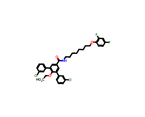 O=C(O)COc1c(-c2cccc(Cl)c2)cc(C(=O)NCCCCCCCCOc2ccc(F)cc2F)cc1-c1cccc(Cl)c1